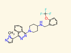 Cn1nccc1-c1nnc(N2CCC(NCc3ccccc3OC(F)(F)F)CC2)c2ccccc12